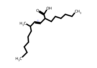 CCCCCCC(C)/C=C/C(CCCCCC)C(=O)O